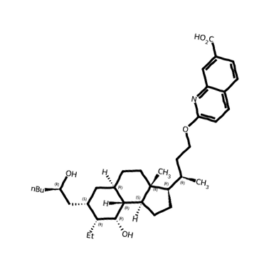 CCCC[C@@H](O)C[C@@H]1C[C@H]2CC[C@]3(C)[C@@H]([C@H](C)CCOc4ccc5ccc(C(=O)O)cc5n4)CC[C@H]3[C@@H]2[C@H](O)[C@@H]1CC